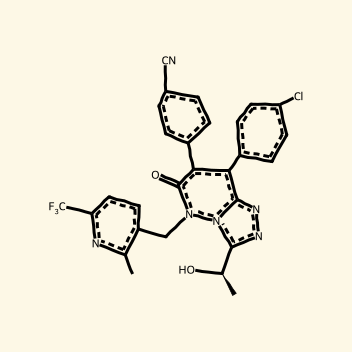 Cc1nc(C(F)(F)F)ccc1Cn1c(=O)c(-c2ccc(C#N)cc2)c(-c2ccc(Cl)cc2)c2nnc([C@@H](C)O)n21